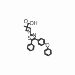 CC1(C(=O)O)CN(c2nc(-c3ccc(Oc4ccccc4)cc3)c(-c3ccccc3)s2)C1